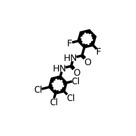 O=C(NC(=O)c1c(F)cccc1F)Nc1cc(Cl)c(Cl)c(Cl)c1Cl